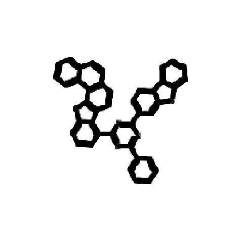 c1ccc(-c2nc(-c3ccc4c(c3)sc3ccccc34)nc(-c3cccc4oc5c(ccc6ccc7ccccc7c65)c34)n2)cc1